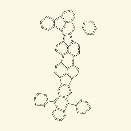 c1ccc(-c2c3cccc4c5ccccc5c(c34)c3c4ccc5c6ccc7c8c(ccc(c9ccc(c23)c4c95)c86)-c2cc3c(-c4ccccn4)c4ccccc4c(-c4ccccn4)c3cc2-7)cc1